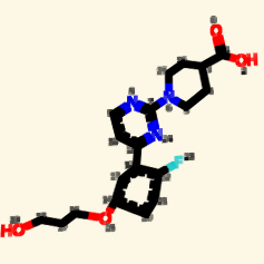 O=C(O)C1CCN(c2nccc(-c3cc(OCCCO)ccc3F)n2)CC1